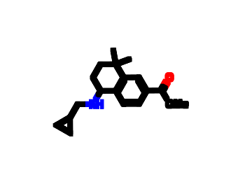 COC(=O)c1ccc2c(c1)C(C)(C)CCC2NCC1CC1